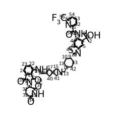 CC(C)(O)c1cc2nc([C@H]3CC[C@H](CN4CC5(CC(CNc6cccc7c6C(=O)N(C6CCC(=O)NC6=O)C7=O)C5)C4)CC3)sc2cc1NC(=O)c1cccc(C(F)(F)F)n1